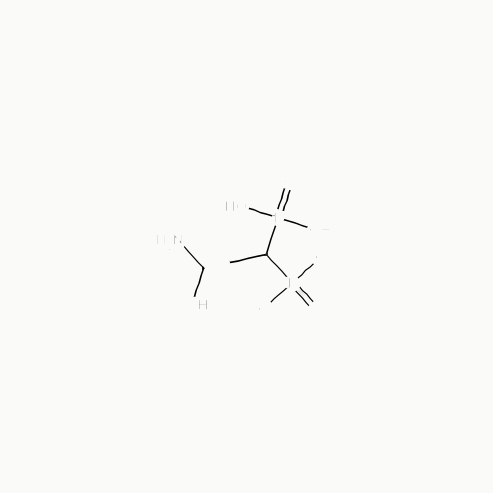 CC(P(=O)(O)O)P(=O)(O)O.NCO